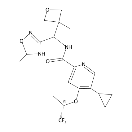 CC1NC(C(NC(=O)c2cc(O[C@@H](C)C(F)(F)F)c(C3CC3)cn2)C2(C)COC2)=NO1